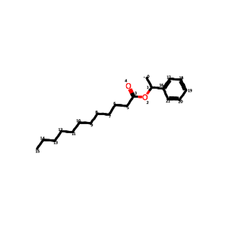 [CH2]C(OC(=O)CCCCCCCCCCC)c1ccccc1